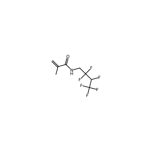 C=C(C)C(=O)NCC(F)(F)C(F)C(F)(F)F